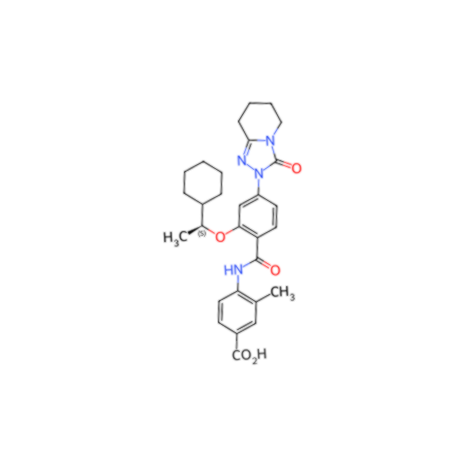 Cc1cc(C(=O)O)ccc1NC(=O)c1ccc(-n2nc3n(c2=O)CCCC3)cc1O[C@@H](C)C1CCCCC1